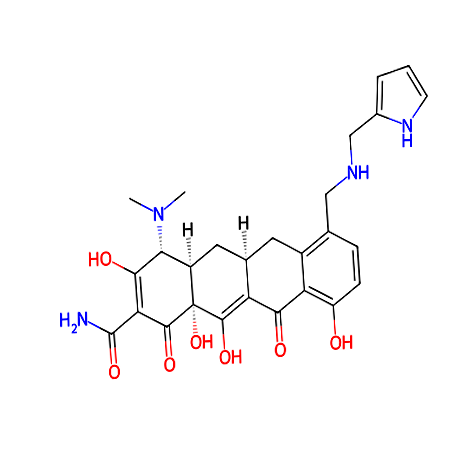 CN(C)[C@H]1C(O)=C(C(N)=O)C(=O)[C@]2(O)C(O)=C3C(=O)c4c(O)ccc(CNCc5ccc[nH]5)c4C[C@@H]3C[C@H]12